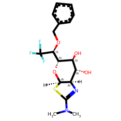 CN(C)C1=N[C@@H]2[C@@H](O)[C@H](O)[C@@H]([C@H](OCc3ccccc3)C(F)(F)F)O[C@@H]2S1